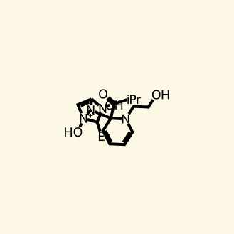 CCC1N(O)C2=C[N+]1(O)N2C1(C(=O)C(C)C)C=CC=CN1CCO